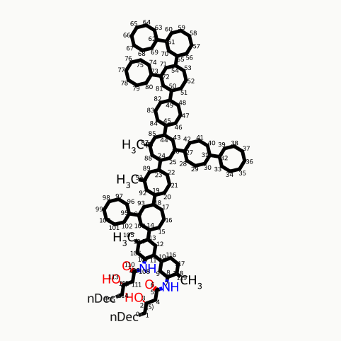 CCCCCCCCCCC[C@H](O)CC(=O)NC1CC(C2CC(C3CCCC(C4CCCC(C5CC(C6CCCC(C7CCCCCCC7)CCC6)CC(C6CCCC(C7CCCC(C8CCCCCC(C9CCCCCCC9)C8)CC(C8CCCCCCC8)C7)CCC6)C[C@H](C)C5)CC(C)C4)CC(C4CCCCCCC4)C3)C(C)CC2NC(=O)C[C@@H](O)CCCCCCCCCCC)CCC1C